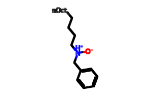 CCCCCCCCCCCC[NH+]([O-])Cc1ccccc1